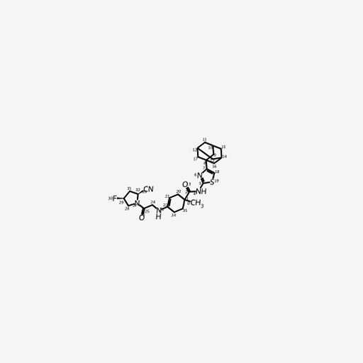 CC1(C(=O)Nc2nc(C34CC5CC(CC(C5)C3)C4)cs2)CC=C(NCC(=O)N2C[C@@H](F)C[C@H]2C#N)CC1